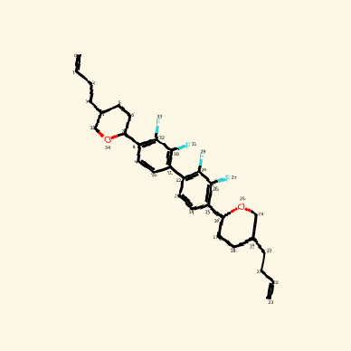 C=CCCC1CCC(c2ccc(-c3ccc(C4CCC(CCC=C)CO4)c(F)c3F)c(F)c2F)OC1